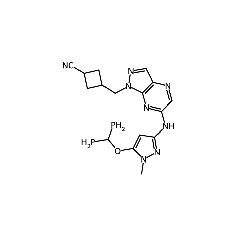 Cn1nc(Nc2cnc3cnn(CC4CC(C#N)C4)c3n2)cc1OC(P)P